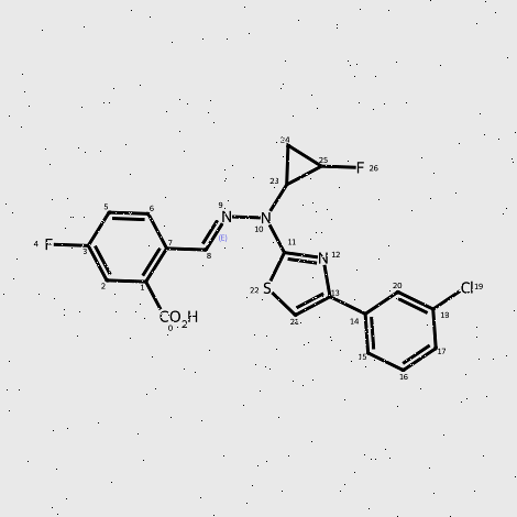 O=C(O)c1cc(F)ccc1/C=N/N(c1nc(-c2cccc(Cl)c2)cs1)C1CC1F